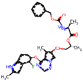 Cc1cc2c(F)c(Oc3ncnn4cc(OC[C@@H](C)OC(=O)[C@H](C)NC(=O)OCc5ccccc5)c(C)c34)ccc2[nH]1